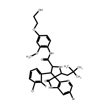 COc1cc(OCCO)ccc1NC(=O)C1NC(CC(C)(C)C)C2(C(=O)Nc3cc(Br)cnc32)C1c1cccc(Cl)c1F